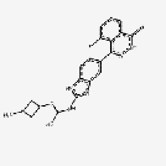 CN1CC(OC(O)Nc2nc3cc(-c4n[nH]c(=O)c5cccc(F)c45)ccc3[nH]2)C1